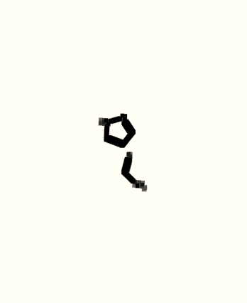 NC=S.c1cn[nH]c1